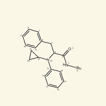 CC(C)(C)NC(=O)C(Cc1ccccc1)N(c1ccccc1)C1CC1